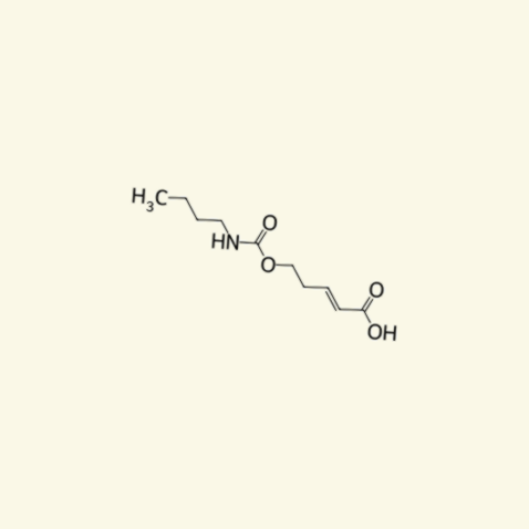 CCCCNC(=O)OCCC=CC(=O)O